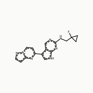 FC1(CNc2ncc3c(-c4ccn5nccc5n4)c[nH]c3n2)CC1